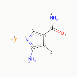 Cc1c(C(N)=O)cn(P)c1N